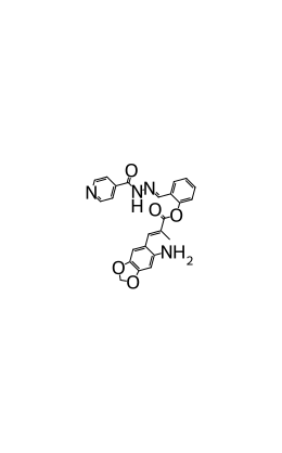 C/C(=C\c1cc2c(cc1N)OCO2)C(=O)Oc1ccccc1/C=N/NC(=O)c1ccncc1